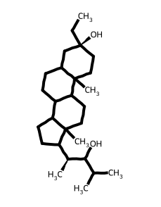 CC[C@]1(O)CCC2(C)C(CCC3C2CCC2(C)C3CCC2[C@H](C)C(O)C(C)C)C1